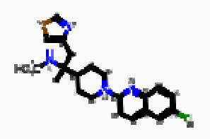 CC(Cc1cscn1)(NC(=O)O)C1CCN(c2ccc3cc(Cl)ccc3n2)CC1